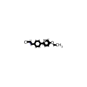 CCOc1ccc(C2CCC(/C=C/Cl)CC2)nc1